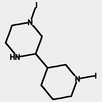 IN1CCCC(C2CN(I)CCN2)C1